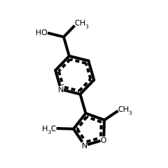 Cc1noc(C)c1-c1ccc(C(C)O)cn1